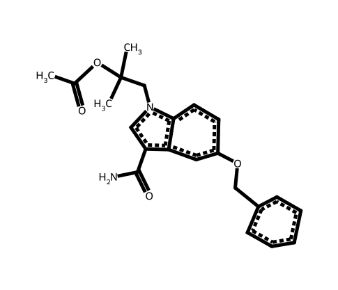 CC(=O)OC(C)(C)Cn1cc(C(N)=O)c2cc(OCc3ccccc3)ccc21